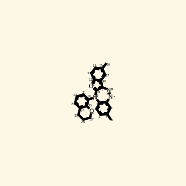 Cc1ccc2c(c1)N=Nc1c(oc3ccc(C)cc13)N2c1cccc2c1OCCC2